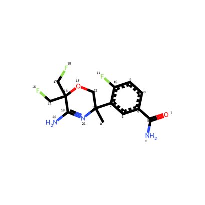 CC1(c2cc(C(N)=O)ccc2F)COC(CF)(CF)C(N)=N1